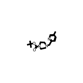 Cc1ccc(CN2CCN(C(=O)OC(C)(C)C)CC2)nc1